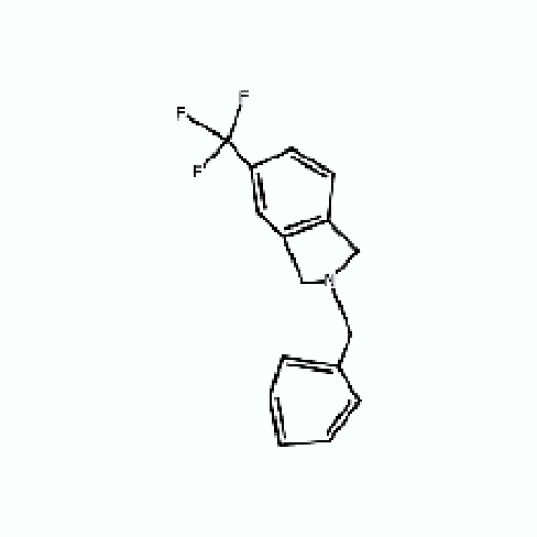 FC(F)(F)c1ccc2c(c1)CN(Cc1ccccc1)C2